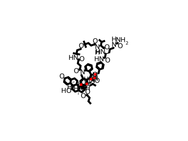 CCCC1O[C@@H]2C[C@H]3[C@@H]4CCC5=CC(=O)C=C[C@]5(C)[C@H]4[C@@H](O)C[C@]3(C)[C@]2(C(=O)COCNC(=O)OCc2ccc(NC(=O)[C@H](CCCNC(N)=O)NC(=O)[C@@H](NC(=O)CCC(C)(C)OCCC(C)(C)NC(=O)CCC(=O)N3Cc4ccccc4-c4c(nnn4C(C)C)-c4ccccc43)C(C)C)cc2)O1